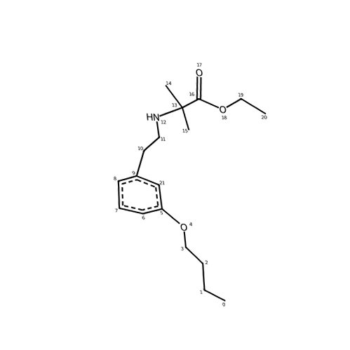 CCCCOc1cccc(CCNC(C)(C)C(=O)OCC)c1